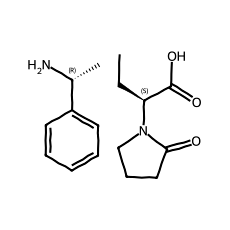 CC[C@@H](C(=O)O)N1CCCC1=O.C[C@@H](N)c1ccccc1